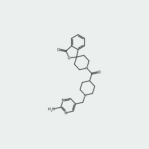 Nc1ncc(CN2CCC(C(=O)N3CCC4(CC3)OC(=O)c3ccccc34)CC2)cn1